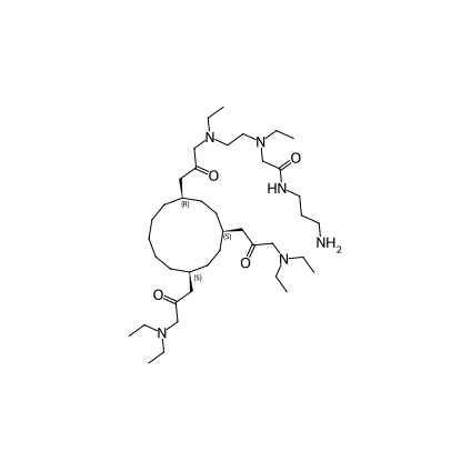 CCN(CC)CC(=O)C[C@H]1CC[C@@H](CC(=O)CN(CC)CC)CCCCC[C@@H](CC(=O)CN(CC)CCN(CC)CC(=O)NCCCN)CC1